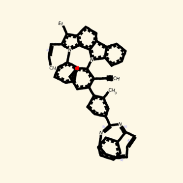 C#Cc1c(-c2ccc(C3=N\CC\C=C/C=C/C(c4ccccc4)=N/3)cc2C)cccc1-n1c2ccccc2c2ccc3c(CC)c(/C=C\C)n(-c4ccccc4)c3c21